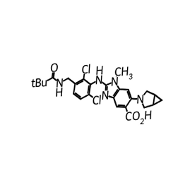 Cn1c(Nc2c(Cl)ccc(CNC(=O)C(C)(C)C)c2Cl)nc2cc(C(=O)O)c(N3CC4CC4C3)cc21